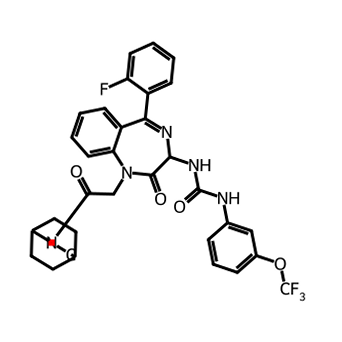 O=C(Nc1cccc(OC(F)(F)F)c1)NC1N=C(c2ccccc2F)c2ccccc2N(CC(=O)N2CC3CCC(CC3)C2)C1=O